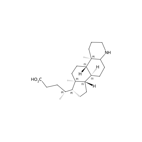 C[C@H](CCC(=O)O)[C@H]1CC[C@H]2[C@@H]3CCC4NCCC[C@]4(C)[C@H]3CC[C@]12C